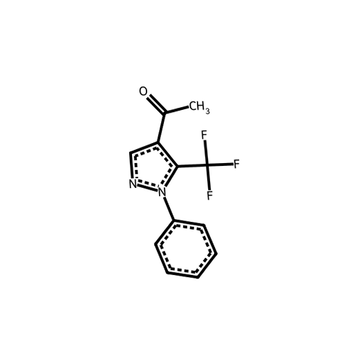 CC(=O)c1cnn(-c2ccccc2)c1C(F)(F)F